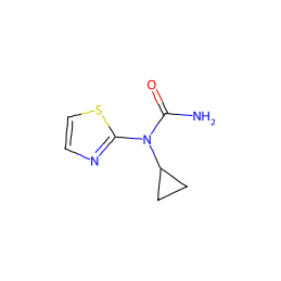 NC(=O)N(c1nccs1)C1CC1